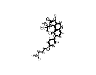 CCC1(S)COc2c(-c3ccc(OCCCN(C)C)nc3)ccc3ncc4c(c23)n1c(=O)n4C